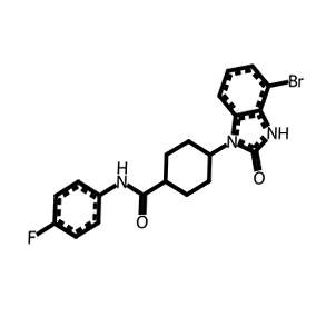 O=C(Nc1ccc(F)cc1)C1CCC(n2c(=O)[nH]c3c(Br)cccc32)CC1